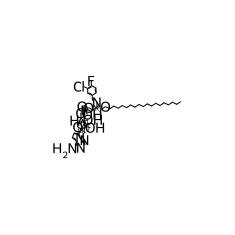 CCCCCCCCCCCCCCCCCCOC[C@H](COP(=O)(O)OC1[C@H]2O[C@@](C)(c3ccc4c(N)ncnn34)[C@H](O)[C@@]12O)N(C)Cc1ccc(F)c(Cl)c1